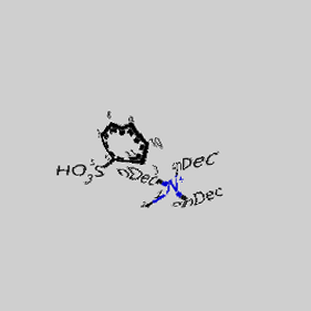 CCCCCCCCCC[N+](C)(CCCCCCCCCC)CCCCCCCCCC.O=S(=O)(O)c1ccccc1